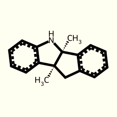 C[C@@]12Cc3ccccc3[C@]1(C)Nc1ccccc12